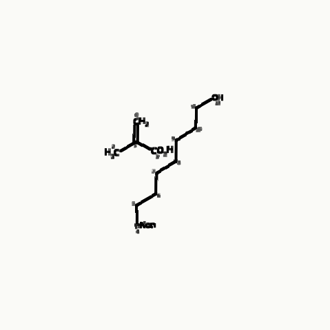 C=C(C)C(=O)O.CCCCCCCCCCCCCCCCO